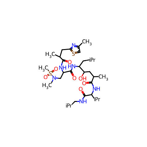 Cc1csc(CC(C)C(=O)NC(CN(C)S(C)(=O)=O)C(=O)NC(CC(C)C)C(O)CC(C)C(=O)NC(C(=O)NCC(C)C)C(C)C)n1